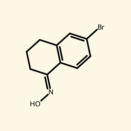 ON=C1CCCc2cc(Br)ccc21